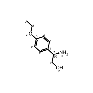 CCOc1ccc([C@@H](N)CO)cc1